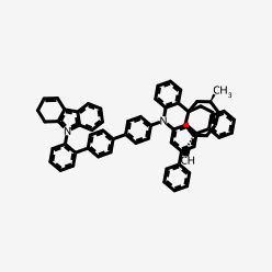 C#C[C@H]1CC2CCC(c3ccccc3N(c3ccc(-c4ccc(-c5ccccc5-n5c6c(c7ccccc75)C=CCC6)cc4)cc3)c3cc(-c4ccccc4)cc(-c4ccccc4)c3)(C[C@@H](C)C2)C1